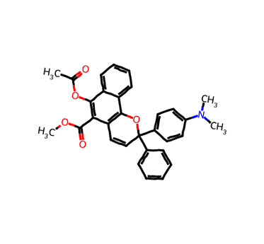 COC(=O)c1c2c(c3ccccc3c1OC(C)=O)OC(c1ccccc1)(c1ccc(N(C)C)cc1)C=C2